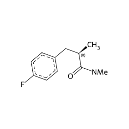 CNC(=O)[C@H](C)Cc1ccc(F)cc1